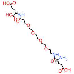 N[C@@H](CCC(=O)O)C(=O)NCCOCCOCCOCCOCCC(=O)N[C@@H](CCC(=O)O)C(=O)O